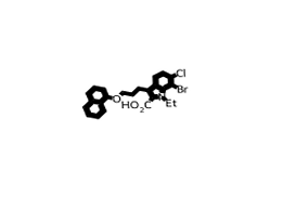 CCn1c(C(=O)O)c(CCCOc2cccc3ccccc23)c2ccc(Cl)c(Br)c21